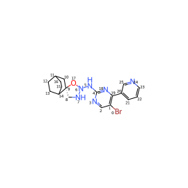 Brc1cnc(NN2NC[C@]3(CC4CCC3CC4)O2)nc1-c1cccnc1